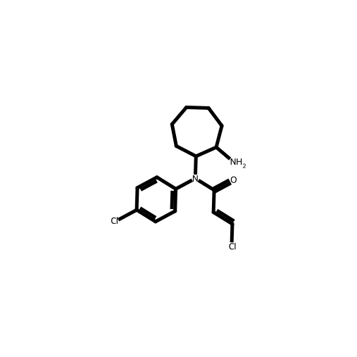 NC1CCCCCC1N(C(=O)C=CCl)c1ccc(Cl)cc1